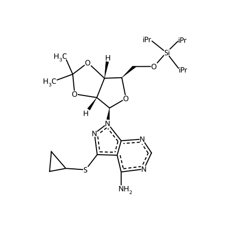 CC(C)[Si](OC[C@H]1O[C@@H](n2nc(SC3CC3)c3c(N)ncnc32)[C@@H]2OC(C)(C)O[C@@H]21)(C(C)C)C(C)C